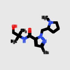 CN1CCCC1Cn1nc(C(C)(C)C)cc1C(=O)NC(C)(C)CO